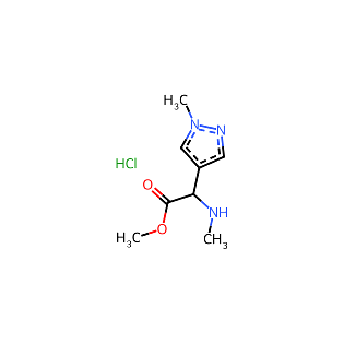 CNC(C(=O)OC)c1cnn(C)c1.Cl